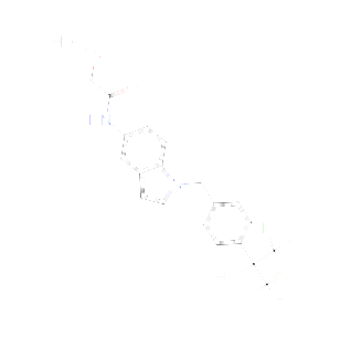 COCC(=O)Nc1ccc2c(ccn2Cc2ccc(C(O)(C(F)(F)F)C(F)(F)F)cc2)c1